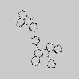 c1ccc(-n2c3c4ccccc4ccc3c3c(-c4ccc(-c5ccc6c(c5)-c5cccc7cccc(c57)O6)cc4)cc4ccccc4c32)cc1